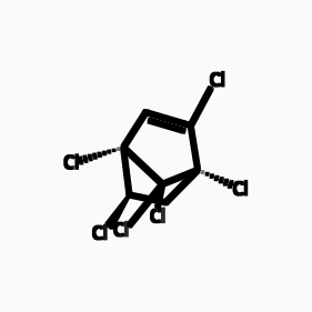 ClC1=C[C@]2(Cl)[C@H](Cl)C[C@@]1(Cl)C2(Cl)Cl